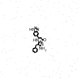 Nc1nn2c(=O)cc(-c3ccc4[nH]nnc4c3)[nH]c2c1Cc1ccccc1